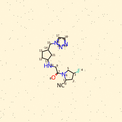 N#CC1CC(F)CN1C(=O)CNC1CCC(Cn2ccnn2)C1